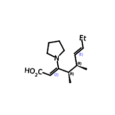 CC/C=C/[C@@H](C)[C@@H](C)/C(=C/C(=O)O)N1CCCC1